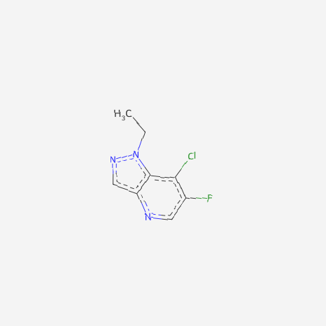 CCn1ncc2ncc(F)c(Cl)c21